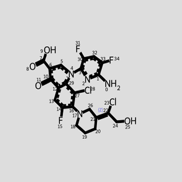 Nc1nc(-n2cc(C(=O)O)c(=O)c3cc(F)c(N4CCC/C(=C(/Cl)CO)C4)c(Cl)c32)c(F)cc1F